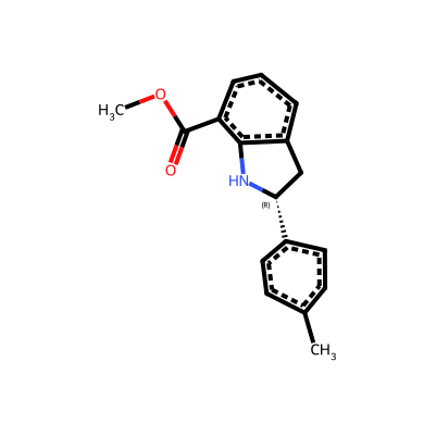 COC(=O)c1cccc2c1N[C@@H](c1ccc(C)cc1)C2